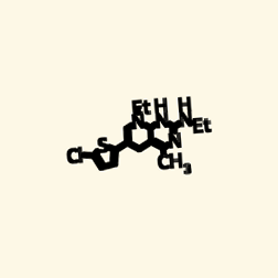 CCNC1=NC(C)=C2CC(c3ccc(Cl)s3)=CN(CC)C2N1